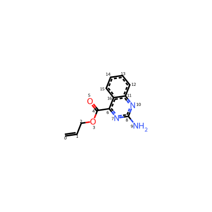 C=CCOC(=O)c1nc(N)nc2ccccc12